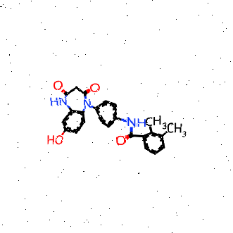 Cc1cccc(C(=O)Nc2ccc(N3C(=O)CC(=O)Nc4cc(O)ccc43)cc2)c1C